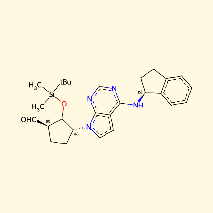 CC(C)(C)[Si](C)(C)OC1[C@H](C=O)CC[C@H]1n1ccc2c(N[C@H]3CCc4ccccc43)ncnc21